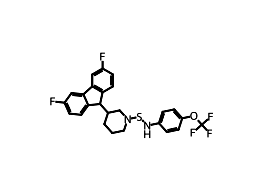 Fc1ccc2c(c1)-c1cc(F)ccc1C2C1CCCN(SNc2ccc(OC(F)(F)F)cc2)C1